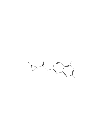 O=C(Nc1cc2cc(Br)cc(Cl)c2cn1)[C@H]1C[C@H]1F